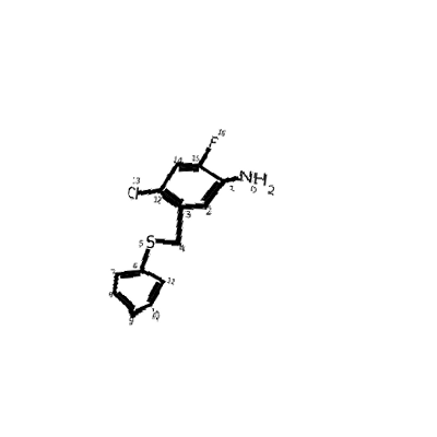 Nc1cc(CSc2ccccc2)c(Cl)cc1F